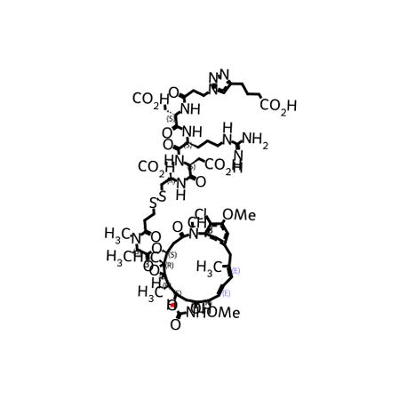 COc1cc2cc(c1Cl)N(C)C(=O)C[C@H](OC(=O)[C@H](C)N(C)C(=O)CCSSC[C@H](NC(=O)[C@H](CC(=O)O)NC(=O)[C@H](CCCNC(=N)N)NC(=O)[C@H](CC(=O)O)NC(=O)CCn1cc(CCCC(=O)O)nn1)C(=O)O)[C@@]1(C)O[C@H]1[C@H](C)[C@@H]1C[C@@](O)(NC(=O)O1)[C@H](OC)/C=C/C=C(\C)C2